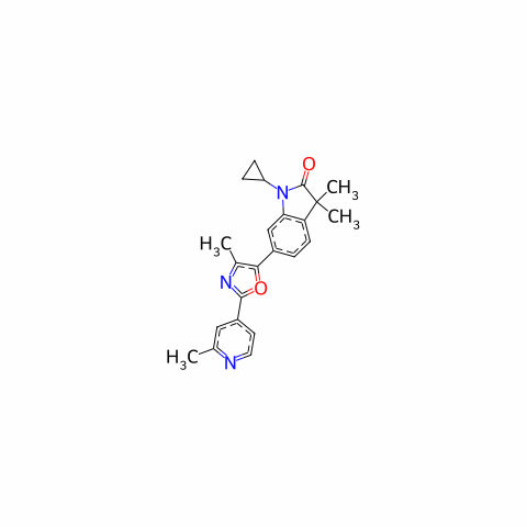 Cc1cc(-c2nc(C)c(-c3ccc4c(c3)N(C3CC3)C(=O)C4(C)C)o2)ccn1